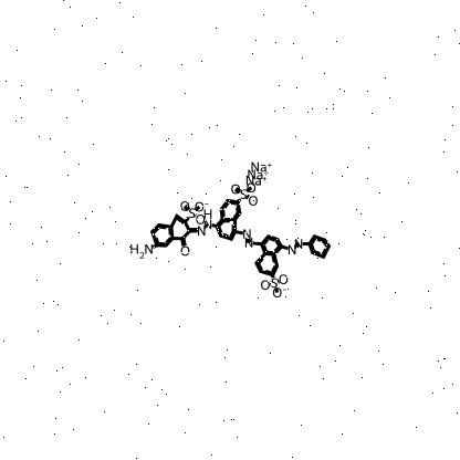 Nc1ccc2c(c1)C(=O)/C(=N/Nc1ccc(N=Nc3ccc(N=Nc4ccccc4)c4cc(S(=O)(=O)[O-])ccc34)c3cc(S(=O)(=O)[O-])ccc13)C(S(=O)(=O)[O-])=C2.[Na+].[Na+].[Na+]